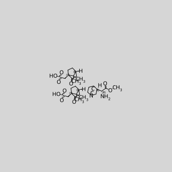 CC1(C)[C@@H]2CC[C@@]1(CS(=O)(=O)O)C(=O)C2.CC1(C)[C@@H]2CC[C@@]1(CS(=O)(=O)O)C(=O)C2.COC(=O)[C@H](N)[C@H]1CN2CCC1CC2